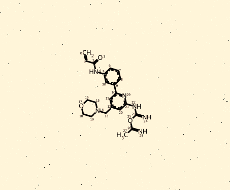 C=CC(=O)Nc1cccc(-c2cc(CN3CCOCC3)cc(NC(=N)OC(C)=N)n2)c1